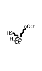 CCCCCCCCCCCCC[Si](C)(CCCS)OCC